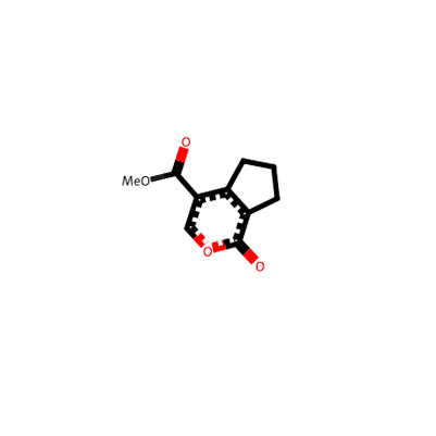 COC(=O)c1coc(=O)c2c1CCC2